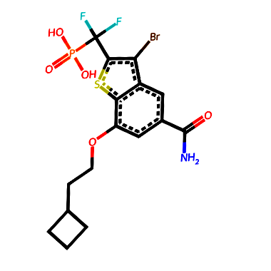 NC(=O)c1cc(OCCC2CCC2)c2sc(C(F)(F)P(=O)(O)O)c(Br)c2c1